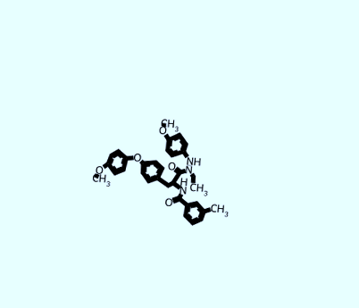 CCN(Nc1ccc(OC)cc1)C(=O)C(Cc1ccc(Oc2ccc(OC)cc2)cc1)NC(=O)c1cccc(C)c1